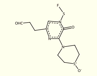 O=CCCc1cn(SF)c(=O)c(N2CC[S+]([O-])CC2)n1